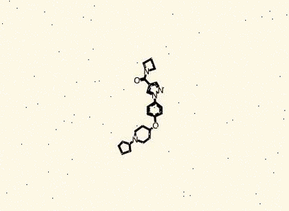 O=C(c1cnn(-c2ccc(OC3CCN(C4CCCC4)CC3)cc2)c1)N1CCC1